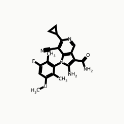 COc1cc(F)c(C)c(-n2c(N)c(C(N)=O)c3cnc(C4CC4)c(C#N)c32)c1C